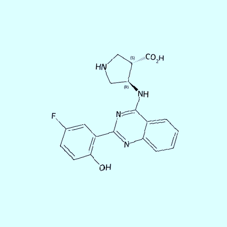 O=C(O)[C@H]1CNC[C@@H]1Nc1nc(-c2cc(F)ccc2O)nc2ccccc12